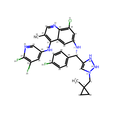 CC1(CN2C=C([C@@H](Nc3cc(Cl)c4ncc(C#N)c(Nc5cnc(F)c(F)c5)c4c3)c3ccc(F)cc3)NN2)CC1